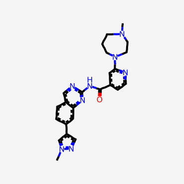 CN1CCCN(c2cc(C(=O)Nc3ncc4ccc(-c5cnn(C)c5)cc4n3)ccn2)CC1